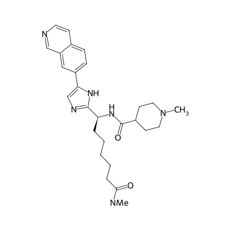 CNC(=O)CCCCC[C@H](NC(=O)C1CCN(C)CC1)c1ncc(-c2ccc3ccncc3c2)[nH]1